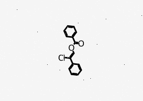 O=C(OC=C(Cl)c1ccccc1)c1ccccc1